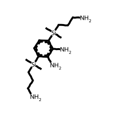 C[Si](C)(CCCN)c1ccc([Si](C)(C)CCCN)c(N)c1N